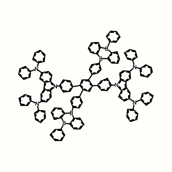 c1ccc(B2c3ccccc3B(c3ccc(-c4cc(-c5ccc(-n6c7ccc(N(c8ccccc8)c8ccccc8)cc7c7cc(N(c8ccccc8)c8ccccc8)ccc76)cc5)c(-c5ccc(B6c7ccccc7B(c7ccccc7)c7ccccc76)cc5)cc4-c4ccc(-n5c6ccc(N(c7ccccc7)c7ccccc7)cc6c6cc(N(c7ccccc7)c7ccccc7)ccc65)cc4)cc3)c3ccccc32)cc1